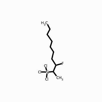 CCCCCCCC(F)C(C)[Si](Cl)(Cl)Cl